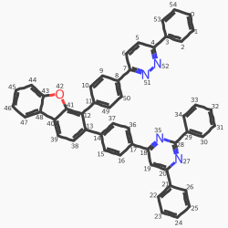 c1ccc(-c2ccc(-c3ccc(-c4c(-c5ccc(-c6cc(-c7ccccc7)nc(-c7ccccc7)n6)cc5)ccc5c4oc4ccccc45)cc3)nn2)cc1